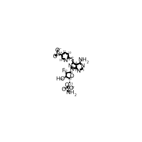 Nc1ncnc2c1c(Sc1ccc([N+](=O)[O-])cn1)nn2[C@@H]1O[C@H](COS(N)(=O)=O)[C@@H](O)[C@@H]1F